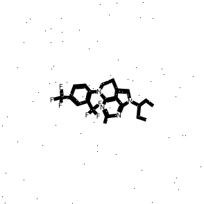 CCC(CC)n1cc2c3c(nc(C)nc31)N(c1ccc(C(F)(F)F)cc1C(F)(F)F)CC2